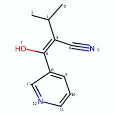 CC(C)C(C#N)=C(O)c1cccnc1